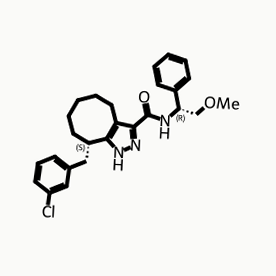 COC[C@H](NC(=O)c1n[nH]c2c1CCCCC[C@H]2Cc1cccc(Cl)c1)c1ccccc1